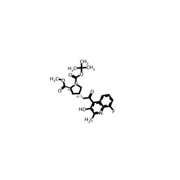 COC(=O)[C@@H]1C[C@@H](CC(=O)c2c(O)c(C)nc3c(F)cccc23)CN1C(=O)OC(C)(C)C